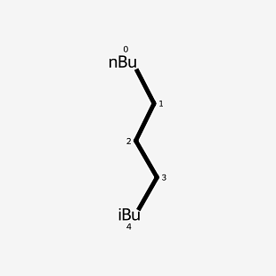 [CH2]CCCCCCC([CH2])CC